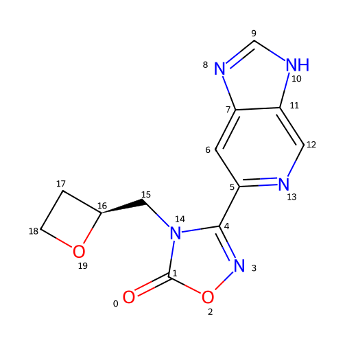 O=c1onc(-c2cc3nc[nH]c3cn2)n1C[C@@H]1CCO1